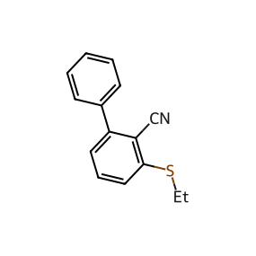 CCSc1cccc(-c2ccccc2)c1C#N